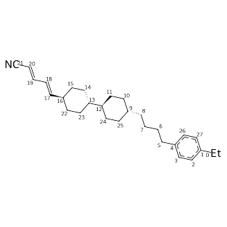 CCc1ccc(CCCC[C@H]2CC[C@H]([C@H]3CC[C@H](C=CC=CC#N)CC3)CC2)cc1